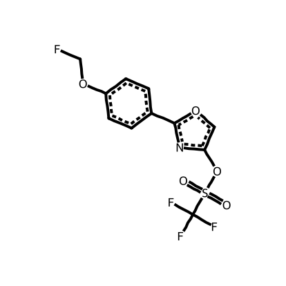 O=S(=O)(Oc1coc(-c2ccc(OCF)cc2)n1)C(F)(F)F